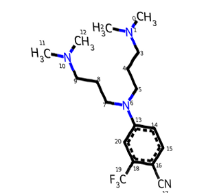 CN(C)CCCN(CCCN(C)C)c1ccc(C#N)c(C(F)(F)F)c1